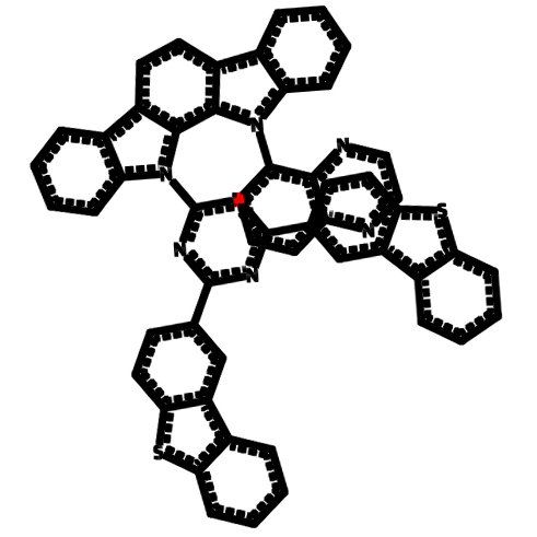 c1cc(-n2c3ccccc3c3ccc4c5ccccc5n(-c5nc(-c6ccc7sc8ccccc8c7c6)nc(-c6ccc7sc8ccccc8c7c6)n5)c4c32)c2nccnc2c1